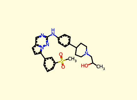 CC(O)CN1CCC(c2ccc(Nc3ncc4ccc(-c5cccc(S(C)(=O)=O)c5)n4n3)cc2)CC1